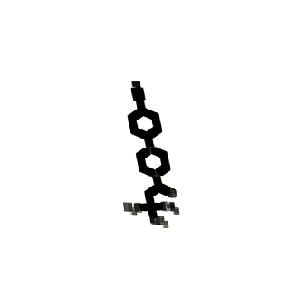 CC(C)(C)CC(=O)N1CCN(C2CCC(C#N)CC2)CC1